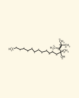 CCCCCCCCCCCCCC(C)(O)C(C)=C(C)C